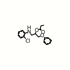 CCC(=O)OC(CNc1ccccc1Cl)COc1ccccc1